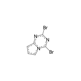 Brc1nc(Br)n2cccc2n1